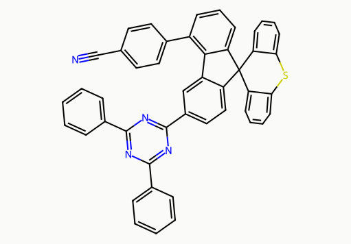 N#Cc1ccc(-c2cccc3c2-c2cc(-c4nc(-c5ccccc5)nc(-c5ccccc5)n4)ccc2C32c3ccccc3Sc3ccccc32)cc1